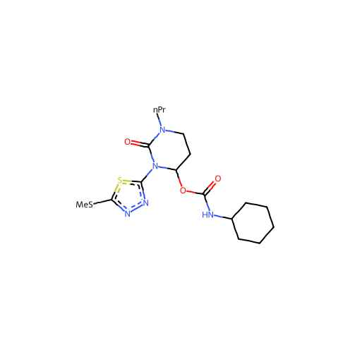 CCCN1CCC(OC(=O)NC2CCCCC2)N(c2nnc(SC)s2)C1=O